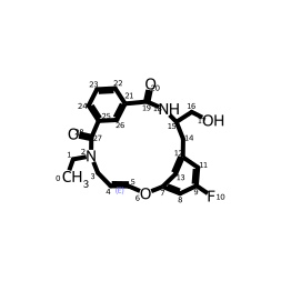 CCN1C/C=C/Oc2cc(F)cc(c2)CC(CO)NC(=O)c2cccc(c2)C1=O